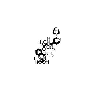 CC(C)(COc1cccc2c1C(N)=NS(O)(O)N2)NC(=O)c1ccnc(N2CCOCC2)c1